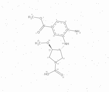 COC(=O)c1ccc(N)c(N[C@@H]2CN(C(=O)O)C[C@H]2OC)c1